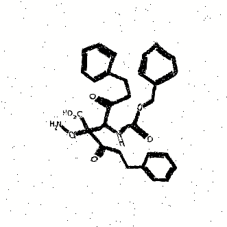 NOC(C(=O)O)(C(=O)CCc1ccccc1)C(NC(=O)OCc1ccccc1)C(=O)CCc1ccccc1